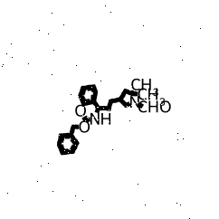 CC1(C)CC(CCC(NC(=O)OCc2ccccc2)c2ccccc2)CN1C=O